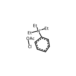 CC(=O)OCl.CC[N+](CC)(CC)c1ccccc1